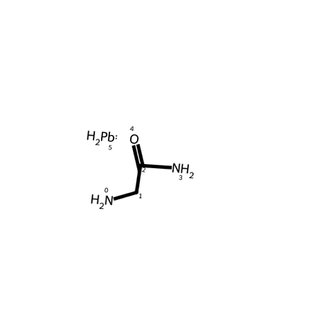 NCC(N)=O.[PbH2]